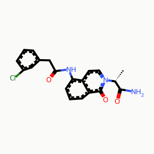 C[C@H](C(N)=O)n1ccc2c(NC(=O)Cc3cccc(Cl)c3)cccc2c1=O